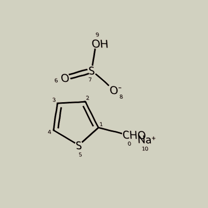 O=Cc1cccs1.O=S([O-])O.[Na+]